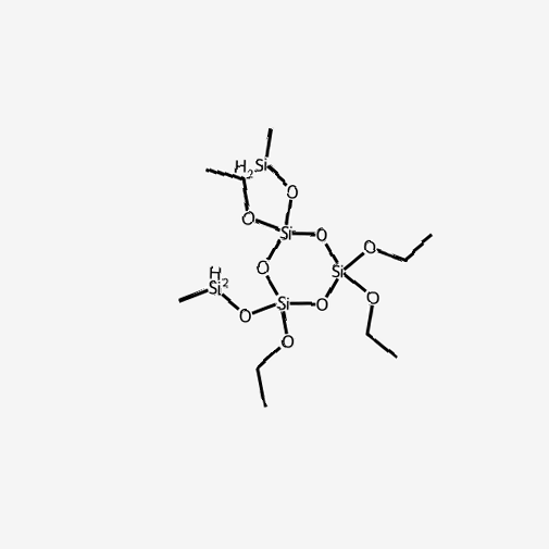 CCO[Si]1(OCC)O[Si](OCC)(O[SiH2]C)O[Si](OCC)(O[SiH2]C)O1